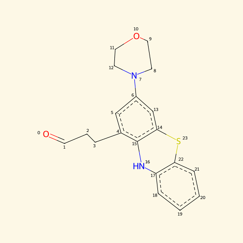 O=CCCc1[c]c(N2CCOCC2)cc2c1Nc1ccccc1S2